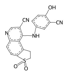 N#Cc1cc(Nc2c(C#N)cnc3ccc4c(c23)CCS4(=O)=O)ccc1O